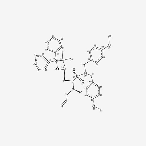 C=CC[C@H](C)[C@@H](CCO[Si](c1ccccc1)(c1ccccc1)C(C)(C)C)S(=O)(=O)N(Cc1ccc(OC)cc1)Cc1ccc(OC)cc1